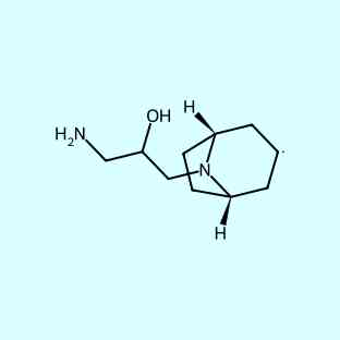 NCC(O)CN1[C@@H]2C[CH]C[C@H]1CC2